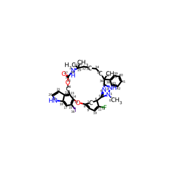 CN1NC2N=C1C1CC(=CC=C1F)Oc1c(I)cc3[nH]ccc3c1COC(=O)NC(C)(C)CCCCC2(C)c1ccccc1